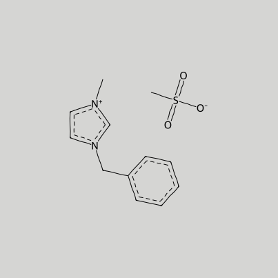 CS(=O)(=O)[O-].C[n+]1ccn(Cc2ccccc2)c1